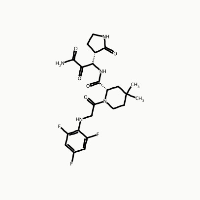 CC1(C)CCN(C(=O)CNc2c(F)cc(F)cc2F)[C@H](C(=O)NC(C(=O)C(N)=O)[C@@H]2CCNC2=O)C1